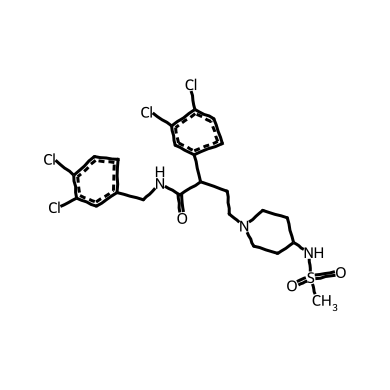 CS(=O)(=O)NC1CCN(CCC(C(=O)NCc2ccc(Cl)c(Cl)c2)c2ccc(Cl)c(Cl)c2)CC1